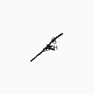 CCCCCCCCCCCCCCCCOCC(CN(CCO)CCCCCC(=O)OCCCCCCCCCC)OCCCCCC